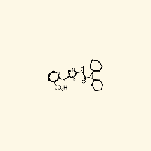 O=C(O)c1cccnc1Sc1cnc(NC(=O)N(C2CCCCC2)C2CCCCC2)s1